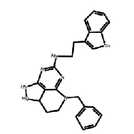 c1ccc(CN2CCC3NNc4nc(NCCc5c[nH]c6ccccc56)nc2c43)cc1